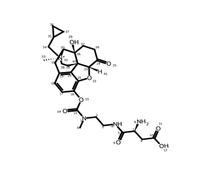 CN(CCNC(=O)[C@@H](N)CC(=O)O)C(=O)Oc1ccc2c3c1O[C@H]1C(=O)CC[C@@]4(O)C(C2)[N@+](C)(CC2CC2)CC[C@]314